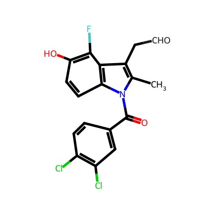 Cc1c(CC=O)c2c(F)c(O)ccc2n1C(=O)c1ccc(Cl)c(Cl)c1